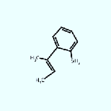 CC=C(C)c1ccccc1[SiH3]